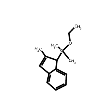 CCO[Si](C)(C)C1C(C)=Cc2ccccc21